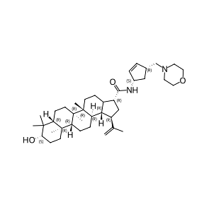 C=C(C)[C@@H]1C[C@@H](C(=O)N[C@@H]2C=C[C@H](CN3CCOCC3)C2)C2CC[C@]3(C)[C@H](CC[C@@H]4[C@@]5(C)CC[C@H](O)C(C)(C)[C@@H]5CC[C@]43C)[C@H]21